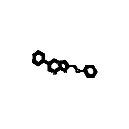 c1ccc(OCc2cn3cc(-c4ccccc4)cnc3n2)cc1